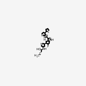 CCCCC(O)Nc1cncc(-c2cc3c(-c4nc5c(-c6cccs6)ccnc5[nH]4)n[nH]c3cc2F)c1